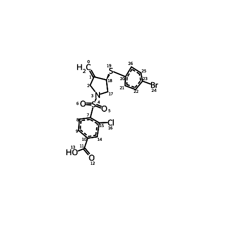 C=C1CN(S(=O)(=O)c2ccc(C(=O)O)cc2Cl)C[C@@H]1Sc1ccc(Br)cc1